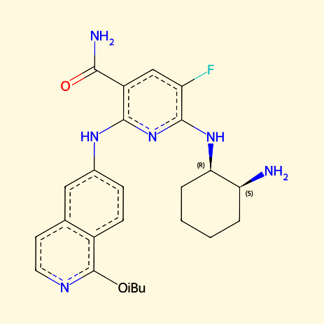 CC(C)COc1nccc2cc(Nc3nc(N[C@@H]4CCCC[C@@H]4N)c(F)cc3C(N)=O)ccc12